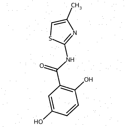 Cc1csc(NC(=O)c2cc(O)ccc2O)n1